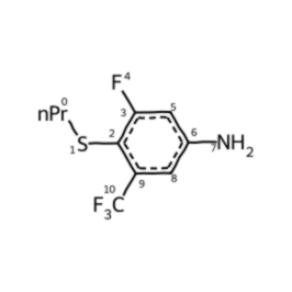 CCCSc1c(F)cc(N)cc1C(F)(F)F